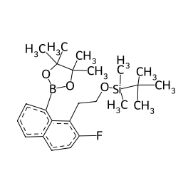 CC1(C)OB(c2cccc3ccc(F)c(CCO[Si](C)(C)C(C)(C)C)c23)OC1(C)C